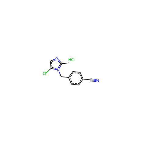 Cc1ncc(Cl)n1Cc1ccc(C#N)cc1.Cl